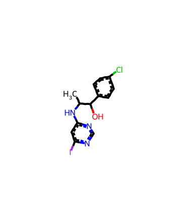 CC(Nc1cc(I)ncn1)C(O)c1ccc(Cl)cc1